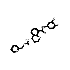 O=C(N[C@H]1CCOc2c(C(=O)Nc3ccc(F)c(Cl)c3)cccc21)OCc1ccccn1